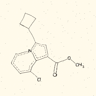 COC(=O)c1cc(C2CCC2)n2cccc(Cl)c12